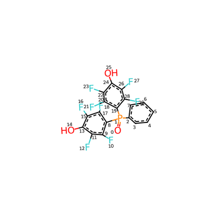 O=P(c1ccccc1)(c1c(F)c(F)c(O)c(F)c1F)c1c(F)c(F)c(O)c(F)c1F